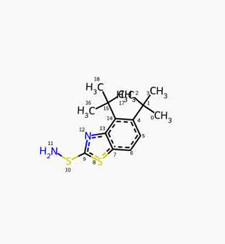 CC(C)(C)c1ccc2sc(SN)nc2c1C(C)(C)C